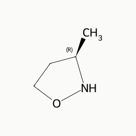 C[C@@H]1CCON1